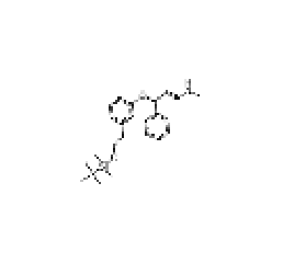 CNC=CC(Oc1cccc(CCO[Si](C)(C)C(C)(C)C)c1)c1ccccc1